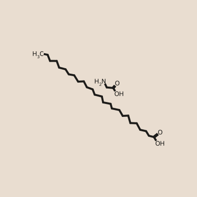 CCCCCCCCCCCCCCCCCCCCCCCCCC(=O)O.NCC(=O)O